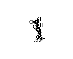 CC(C)(C)NC(=O)CN1CC2(CCC(C(=O)Nc3cc(Cl)cc(Cl)c3)CC2)C1